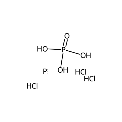 Cl.Cl.Cl.O=P(O)(O)O.[P]